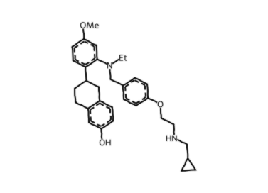 CCN(Cc1ccc(OCCNCC2CC2)cc1)c1cc(OC)ccc1C1CCc2cc(O)ccc2C1